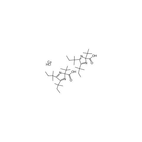 CCC(C)(C)C1=NC(C(=O)O)(C(C)(C)C)N=C1C(C)(C)CC.CCC(C)(C)C1=NC(C(=O)O)(C(C)(C)C)N=C1C(C)(C)CC.Cl.[Co]